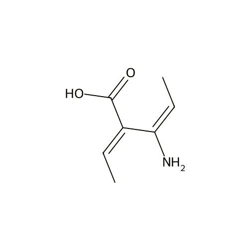 C/C=C(N)\C(=C/C)C(=O)O